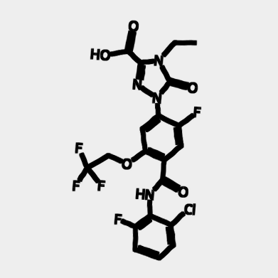 CCn1c(C(=O)O)nn(-c2cc(OCC(F)(F)F)c(C(=O)Nc3c(F)cccc3Cl)cc2F)c1=O